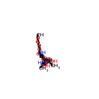 C#CCOCCOCCOCCOCCNC(=O)c1ccc(C2O[C@@H](C(=O)N[C@@H](CCCC)C(=O)O)[C@H](C(=O)N[C@@H](CCCC)C(=O)O)O2)cc1